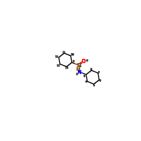 O=[SH](=NC1CCCCC1)C1CCCCC1